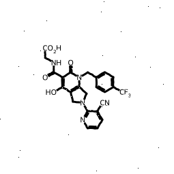 N#Cc1cccnc1N1Cc2c(O)c(C(=O)NCC(=O)O)c(=O)n(Cc3ccc(C(F)(F)F)cc3)c2C1